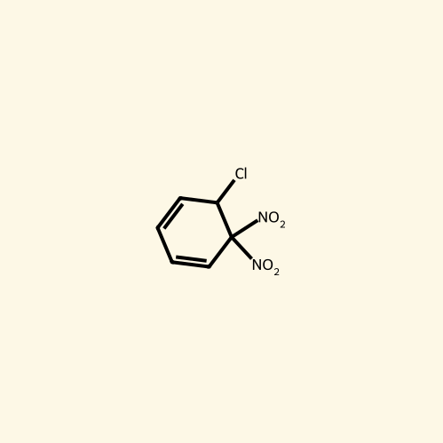 O=[N+]([O-])C1([N+](=O)[O-])C=CC=CC1Cl